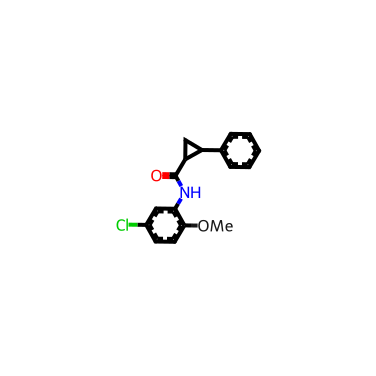 COc1ccc(Cl)cc1NC(=O)C1CC1c1ccccc1